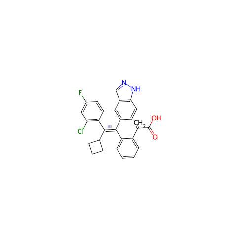 C=C(C(=O)O)c1ccccc1/C(=C(/c1ccc(F)cc1Cl)C1CCC1)c1ccc2[nH]ncc2c1